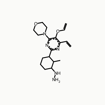 C=COc1c(C=C)nc(C2CCCC(NN)C2C)nc1N1CCOCC1